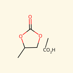 CC(=O)O.CC1COC(=O)O1